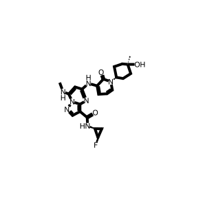 CNc1cc(Nc2cccn([C@H]3CC[C@](C)(O)CC3)c2=O)nc2c(C(=O)N[C@H]3C[C@H]3F)cnn12